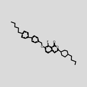 CCCCCc1ccc(-c2ccc(COc3ccc4cc(C5CCC(CCCC)CC5)oc(=O)c4c3F)cc2)cc1